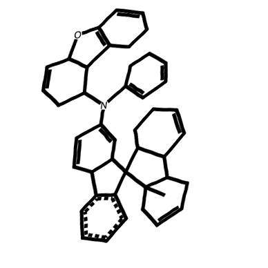 CC12CC=CCC1C1C=CCCC1C21c2ccccc2C2C=CC(N(C3=CC=CCC3)C3CC=CC4OC5=C(CCC=C5)C43)=CC21